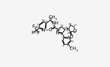 Cc1ccc(C2=NN(C(=O)N[C@H](C)c3ccc(C(F)(F)F)nc3)C[C@@H]2N2CCOC2=O)nc1